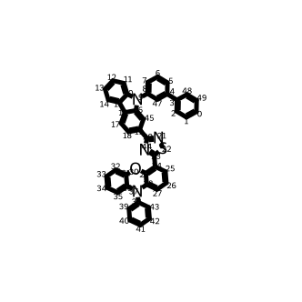 c1ccc(-c2cccc(-n3c4ccccc4c4ccc(-c5nsc(-c6cccc7c6Oc6ccccc6N7c6ccccc6)n5)cc43)c2)cc1